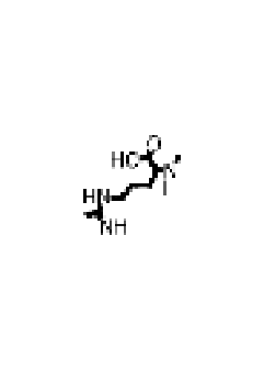 CNC(CCCNC(C)=N)C(=O)O